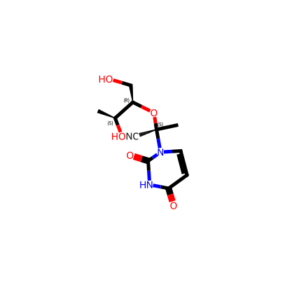 C[C@H](O)[C@@H](CO)O[C@@](C)(C#N)n1ccc(=O)[nH]c1=O